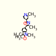 Cc1cc(-c2nc(C)c(-c3ccc4c(c3)N(C)C(=O)C4(C)C)o2)ccn1